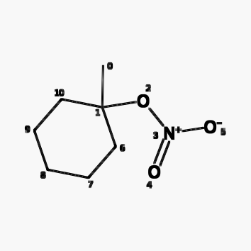 CC1(O[N+](=O)[O-])CCCCC1